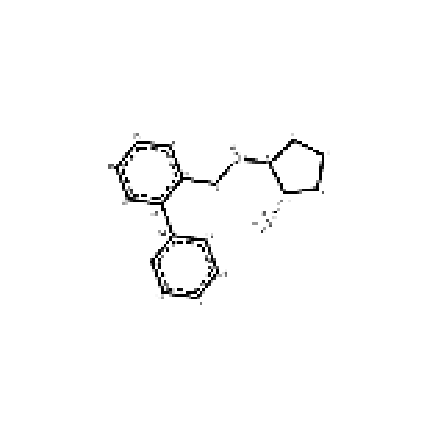 N[C@H]1CCC[C@@H]1OCc1ccccc1-c1ccccc1